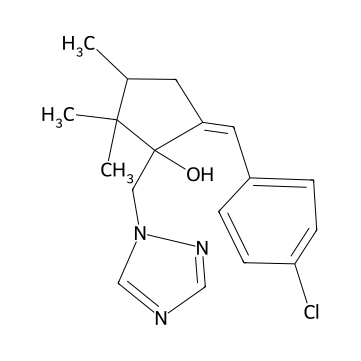 CC1C/C(=C/c2ccc(Cl)cc2)C(O)(Cn2cncn2)C1(C)C